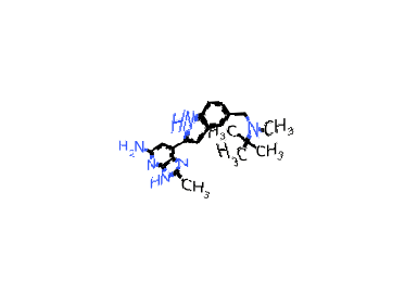 Cc1nc2c(-c3cc4cc(CN(C)C(C)(C)C)ccc4[nH]3)cc(N)nc2[nH]1